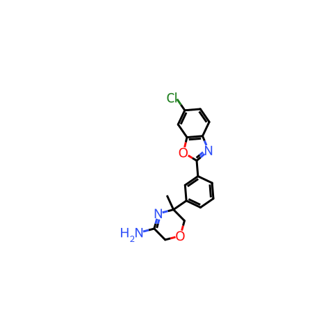 CC1(c2cccc(-c3nc4ccc(Cl)cc4o3)c2)COCC(N)=N1